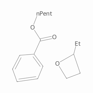 CCC1CCO1.CCCCCOC(=O)c1ccccc1